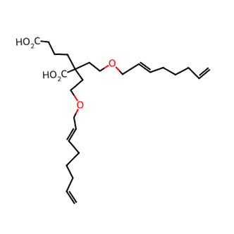 C=CCCCC=CCOCCC(CCCC(=O)O)(CCOCC=CCCCC=C)C(=O)O